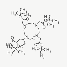 CC(C)(C)OC(=O)CN1CCN(CC(=O)OC(C)(C)C)CCN(C(C=O)CC(OC(C)(C)C)C(=O)O)CCN(CC(=O)OC(C)(C)C)CC1